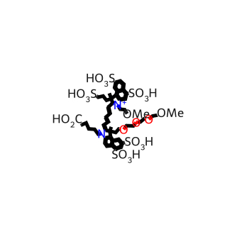 COCCOCCOCCOCCC1(C)\C(=C/C=C/C=C/C2=[N+](CCOC)c3cc(S(=O)(=O)O)c4ccc(S(=O)(=O)O)cc4c3C2(C)CCCS(=O)(=O)O)N(CCCCCC(=O)O)c2ccc3c(S(=O)(=O)O)cc(S(=O)(=O)O)cc3c21